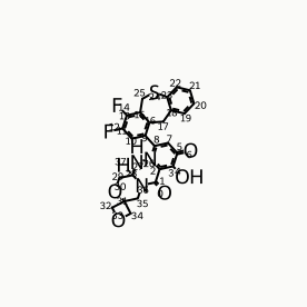 O=C1c2c(O)c(=O)cc(-c3cc(F)c(F)c4c3Cc3ccccc3SC4)n2N[C@@H]2COC3(COC3)CN12